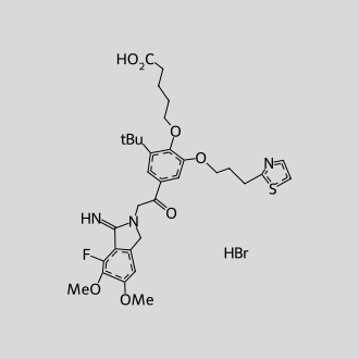 Br.COc1cc2c(c(F)c1OC)C(=N)N(CC(=O)c1cc(OCCCc3nccs3)c(OCCCCC(=O)O)c(C(C)(C)C)c1)C2